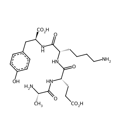 C[C@H](N)C(=O)N[C@@H](CCC(=O)O)C(=O)N[C@@H](CCCCN)C(=O)N[C@@H](Cc1ccc(O)cc1)C(=O)O